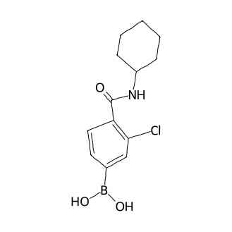 O=C(NC1CCCCC1)c1ccc(B(O)O)cc1Cl